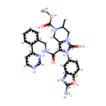 CC1Cn2c(c(C(=O)NCc3ccccc3-c3ccncn3)n(-c3ccc4oc(N)nc4c3)c2=O)CN1C(=O)OC(C)(C)C